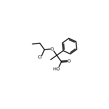 CCC(Cl)OC(C)(C(=O)O)c1ccccc1